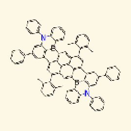 Cc1cccc(C)c1-c1cc2c3c(cc4c(-c5c(C)cccc5C)cc5c6c(cc1c3c46)B1c3ccccc3N(c3ccccc3)c3cc(-c4ccccc4)cc-5c31)B1c3ccccc3N(c3ccccc3)c3cc(-c4ccccc4)cc-2c31